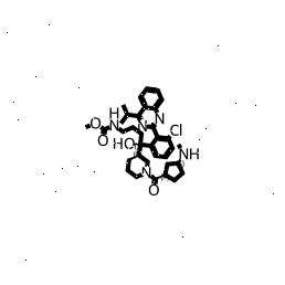 CN[C@H]1CC[C@@H](C(=O)N2CCC[C@@H]([C@@](O)(CCCNC(=O)OC)c3cccc(Cl)c3-c3nc(C(C)C)c4ccccc4n3)C2)C1